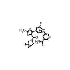 Cc1cncc(C(=O)NC[C@@H]2C3C[C@@H]3CN2C(=O)c2nc(C)sc2-c2cccc(F)c2)c1